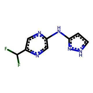 FC(F)c1cnc(Nc2cc[nH]n2)cn1